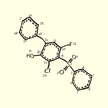 O=S(=O)(c1ccccc1)c1c(F)cc(-c2ccccc2)c(O)c1Cl